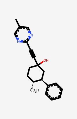 Cc1cnc(C#CC2(O)CC[C@@H](C(=O)O)[C@H](c3ccccc3)C2)nc1